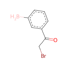 Bc1cccc(C(=O)CBr)c1